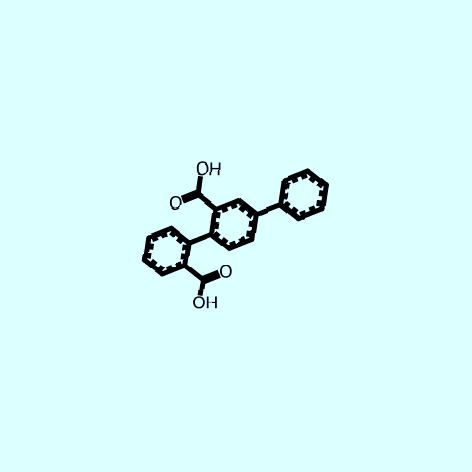 O=C(O)c1ccccc1-c1ccc(-c2ccccc2)cc1C(=O)O